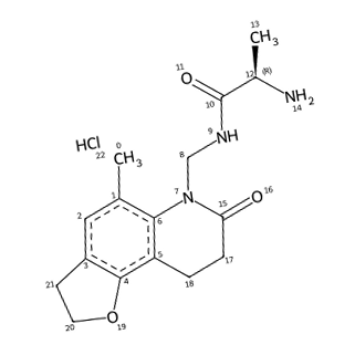 Cc1cc2c(c3c1N(CNC(=O)[C@@H](C)N)C(=O)CC3)OCC2.Cl